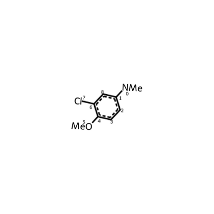 CNc1ccc(OC)c(Cl)c1